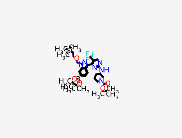 CC(C)(C)OC(=O)N1CCC[C@H](Nc2ncc(C(F)(F)F)c(-c3nn(COCC[Si](C)(C)C)c4cc(B5OC(C)(C)C(C)(C)O5)ccc34)n2)C1